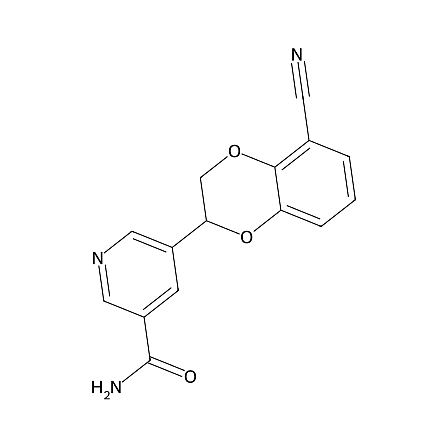 N#Cc1cccc2c1OCC(c1cncc(C(N)=O)c1)O2